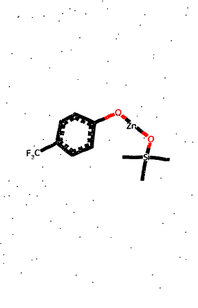 C[Si](C)(C)[O][Zn][O]c1ccc(C(F)(F)F)cc1